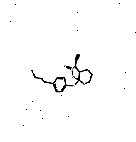 C#CCC1CCCCC1(Oc1ccc(CCCC)cc1)OS(=O)O